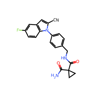 N#Cc1cc2cc(F)ccc2n1-c1ccc(CNC(=O)C2(C(N)=O)CC2)cc1